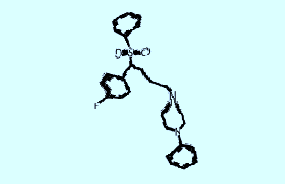 O=S(=O)(c1ccccc1)C(CCCN1CCN(c2ccccc2)CC1)c1ccc(F)cc1